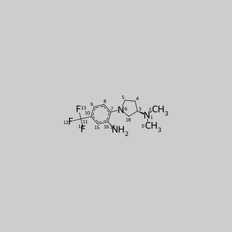 CN(C)[C@@H]1CCN(c2ccc(C(F)(F)F)cc2N)C1